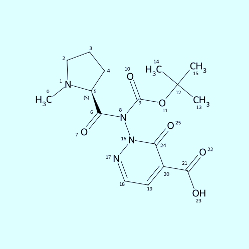 CN1CCC[C@H]1C(=O)N(C(=O)OC(C)(C)C)n1nccc(C(=O)O)c1=O